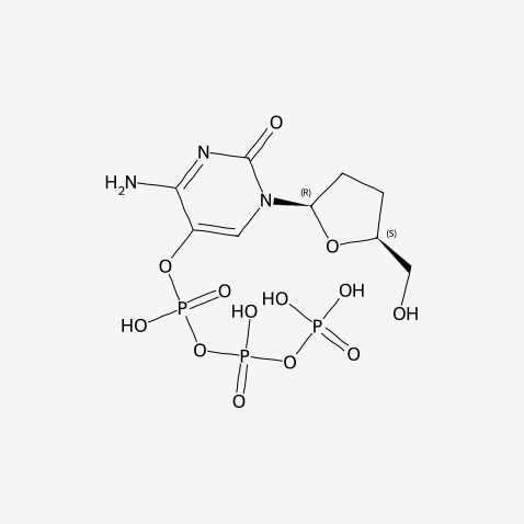 Nc1nc(=O)n([C@H]2CC[C@@H](CO)O2)cc1OP(=O)(O)OP(=O)(O)OP(=O)(O)O